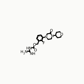 N=C(N)NC(=O)OCc1cccc(N2CCN(C3CCOCC3)C(=O)C2)c1F